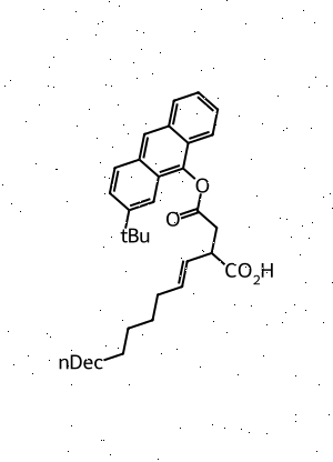 CCCCCCCCCCCCCCC=CC(CC(=O)Oc1c2ccccc2cc2ccc(C(C)(C)C)cc12)C(=O)O